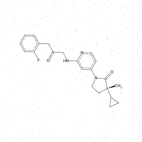 C[C@@]1(C2CC2)CCN(c2ccnc(NCC(=O)Cc3ccccc3F)c2)C1=O